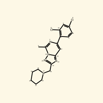 Cc1nc(-c2ccc(Cl)cc2Cl)cc2nc(CN3CCCCC3)nn12